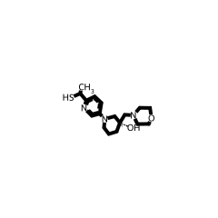 CC(S)c1ccc(N2CCC[C@](O)(CN3CCOCC3)C2)cn1